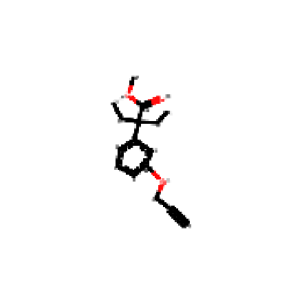 C#CCOc1cccc(C(CC)(CC)C(=O)OC)c1